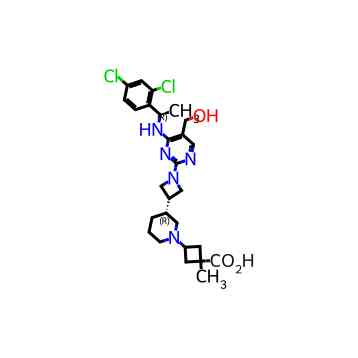 C[C@@H](Nc1nc(N2CC([C@H]3CCCN(C4CC(C)(C(=O)O)C4)C3)C2)ncc1CO)c1ccc(Cl)cc1Cl